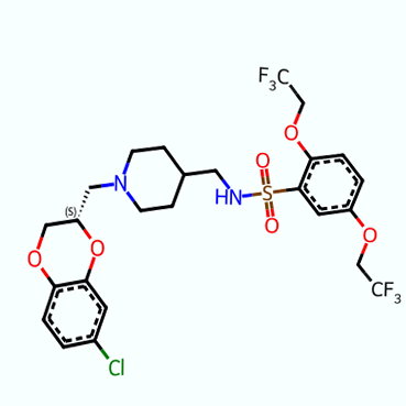 O=S(=O)(NCC1CCN(C[C@H]2COc3ccc(Cl)cc3O2)CC1)c1cc(OCC(F)(F)F)ccc1OCC(F)(F)F